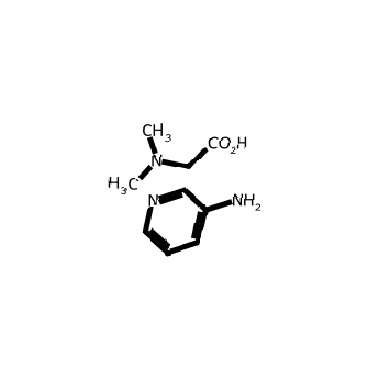 CN(C)CC(=O)O.Nc1cccnc1